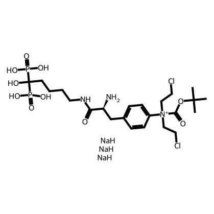 CC(C)(C)OC(=O)[N+](CCCl)(CCCl)c1ccc(C[C@H](N)C(=O)NCCCCC(O)(P(=O)(O)O)P(=O)(O)O)cc1.[NaH].[NaH].[NaH]